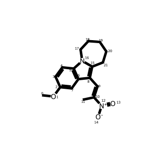 COc1ccc2c(c1)c(/C=C(\C)[N+](=O)[O-])c1n2CCCCC1